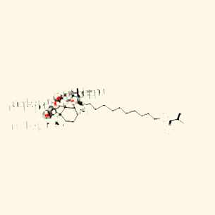 C=C(C)C(=O)OCCCCCCCCCCS(=O)(=O)[C@]1(S(=O)(=O)CCCCCCC)CCCC(S(=O)(=O)CCCCCCC)(S(=O)(=O)CCCCCCC)C1(S(=O)(=O)CCCCCCC)S(=O)(=O)CCCCCCC